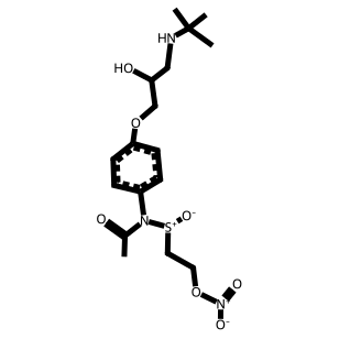 CC(=O)N(c1ccc(OCC(O)CNC(C)(C)C)cc1)[S+]([O-])CCO[N+](=O)[O-]